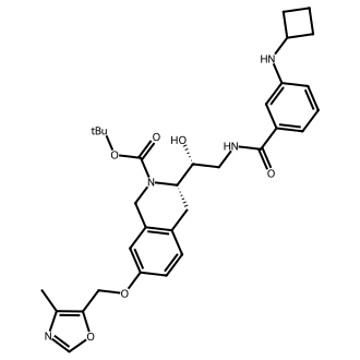 Cc1ncoc1COc1ccc2c(c1)CN(C(=O)OC(C)(C)C)[C@H]([C@H](O)CNC(=O)c1cccc(NC3CCC3)c1)C2